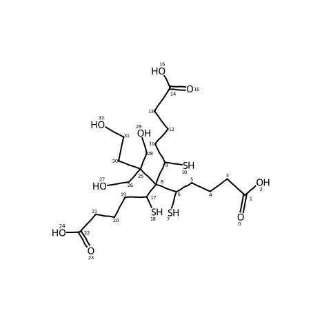 O=C(O)CCCC(S)C(C(S)CCCC(=O)O)(C(S)CCCC(=O)O)C(CO)(CO)CCO